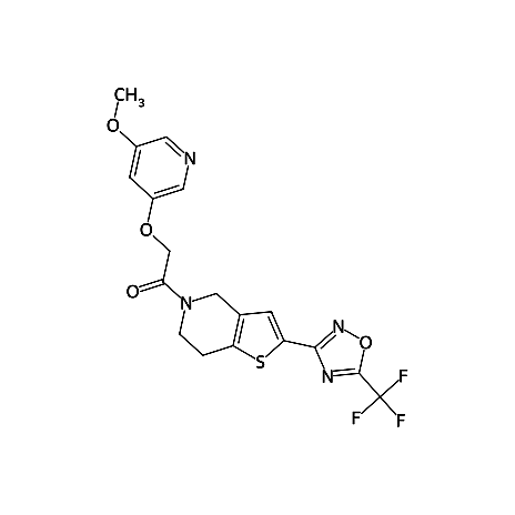 COc1cncc(OCC(=O)N2CCc3sc(-c4noc(C(F)(F)F)n4)cc3C2)c1